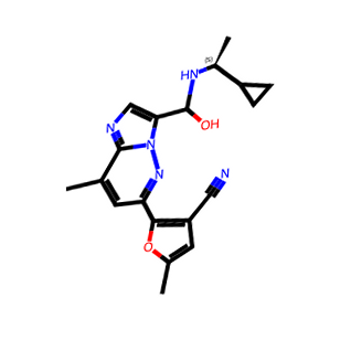 Cc1cc(C#N)c(-c2cc(C)c3ncc(C(O)N[C@@H](C)C4CC4)n3n2)o1